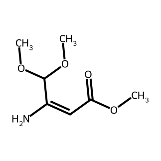 COC(=O)/C=C(/N)C(OC)OC